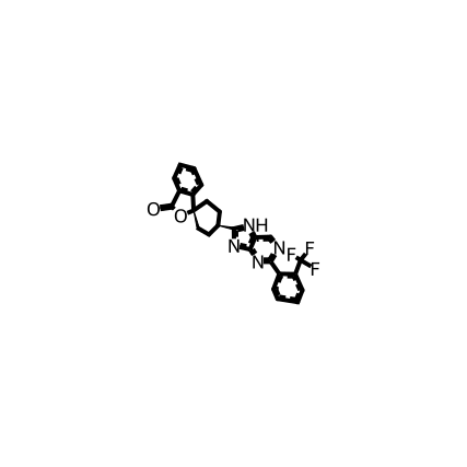 O=C1O[C@]2(CC[C@H](c3nc4nc(-c5ccccc5C(F)(F)F)ncc4[nH]3)CC2)c2ccccc21